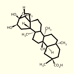 C[C@@H]1[C@@]23CCC4[C@@](C)(CC[C@@]5(C)[C@@H]6C[C@](C)(C(=O)O)CC[C@]6(C)CC[C@]45C)[C@@H]2C[C@@H](O)[C@]1(O)OC3